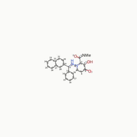 CNC(=O)c1c(O)c(=O)ccn1NC(c1ccccc1)c1ccc2ccccc2c1